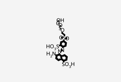 Nc1ccc2c(S(=O)(=O)O)cccc2c1N=Nc1ccc(S(=O)(=O)CCOSOOO)cc1S(=O)(=O)O